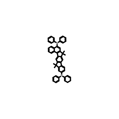 CC1(C)c2cc(N(C3=CCCC=C3)c3ccccc3)ccc2-c2cc3c(cc21)-c1c(cc(N(c2ccccc2)c2ccccc2)c2ccccc12)C3(C)C